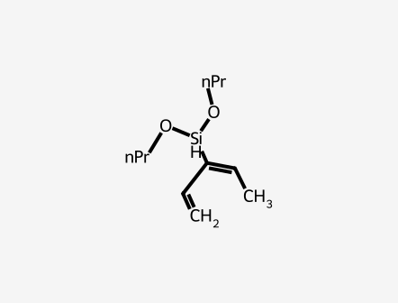 C=CC(=CC)[SiH](OCCC)OCCC